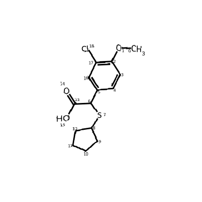 COc1ccc(C(SC2CCCC2)C(=O)O)cc1Cl